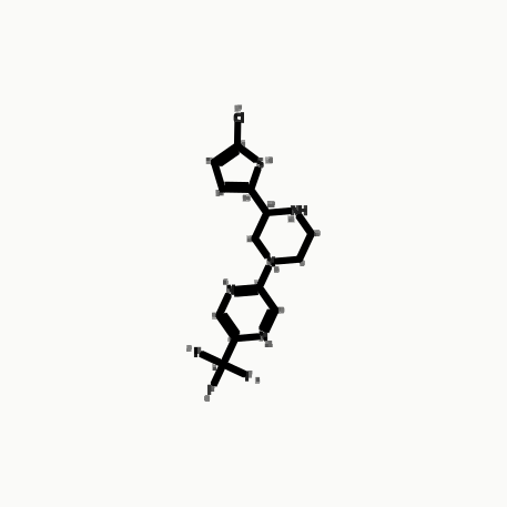 FC(F)(F)c1cnc(N2CCNC(c3ccc(Cl)s3)C2)cn1